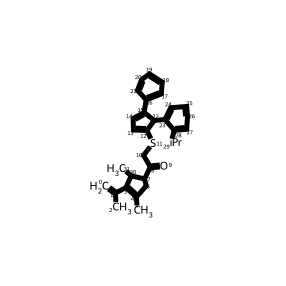 C=C(C)C1=C(C)CC(C(=O)CSC2=CC=C(c3ccccc3)C2c2ccccc2C(C)C)C1C